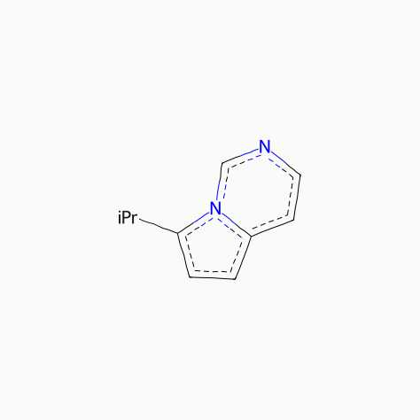 CC(C)c1ccc2ccncn12